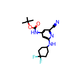 CC(C)(C)OC(=O)Nc1cc(C#N)nc(NC2CCC(F)(F)CC2)c1